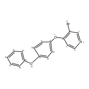 Brc1cnccc1Oc1ccc(Oc2ccccc2)cc1